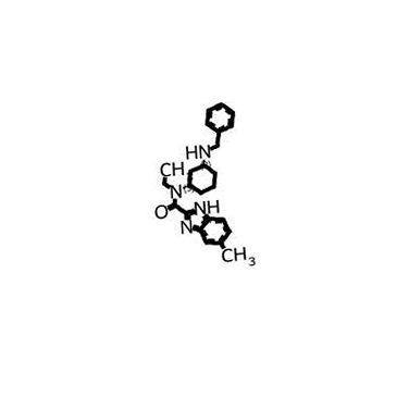 CCN(C(=O)c1nc2cc(C)ccc2[nH]1)[C@H]1CCC[C@@H](NCc2ccccc2)C1